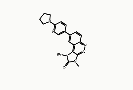 CC(C)n1c(=O)n(C)c2nnc3ccc(-c4ccc(N5CCCC5)nc4)cc3c21